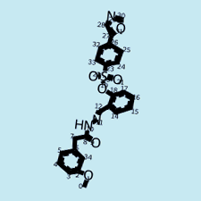 COc1cccc(CC(=O)NN=Cc2ccccc2OS(=O)(=O)c2ccc(-c3cnco3)cc2)c1